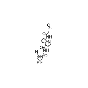 N#C[C@@H]1CC(F)(F)CN1C(=O)CNC(=O)c1ccnc2c(NC(=O)CCC(=O)I)cccc12